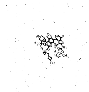 CC(C)(C)OC(=O)Nc1sc2c(F)cnc(-c3c4c(c5c(N6C7CCC6(C(C)(C)C)CNC7)nc(OCC6(CN7CC(O)C7)CC6)nc5c3F)COC4)c2c1C#N